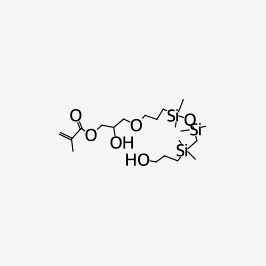 C=C(C)C(=O)OCC(O)COCCC[Si](C)(C)O[Si](C)(C)C[Si](C)(C)CCCO